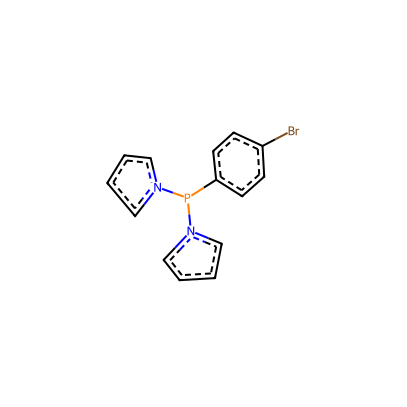 Brc1ccc(P(n2cccc2)n2cccc2)cc1